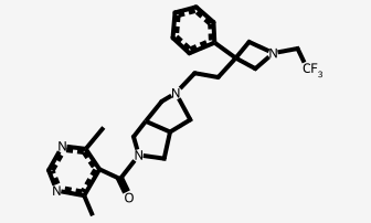 Cc1ncnc(C)c1C(=O)N1CC2CN(CCC3(c4ccccc4)CN(CC(F)(F)F)C3)CC2C1